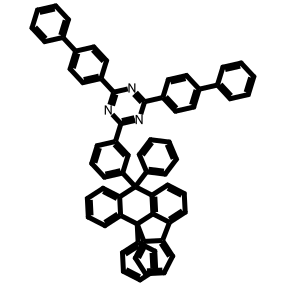 c1ccc(-c2ccc(-c3nc(-c4ccc(-c5ccccc5)cc4)nc(-c4cccc(C5(c6ccccc6)c6ccccc6C6(c7ccccc7)c7ccccc7-c7cccc5c76)c4)n3)cc2)cc1